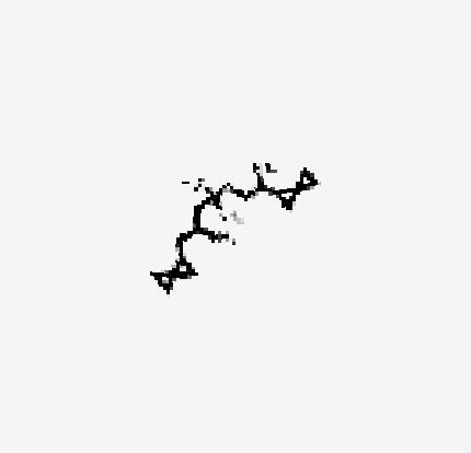 CC(C)(CC(N)CC1CC12CC2)OCC(N)C1CC12CC2